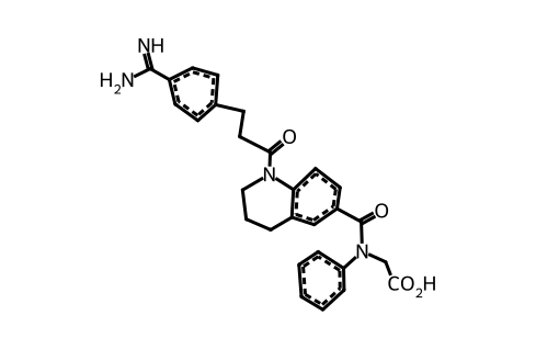 N=C(N)c1ccc(CCC(=O)N2CCCc3cc(C(=O)N(CC(=O)O)c4ccccc4)ccc32)cc1